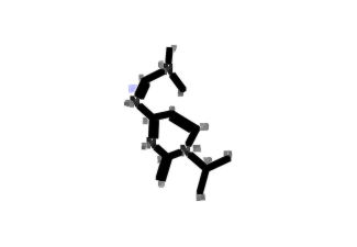 C=C1N=C(/N=C\N(C)C)C=CN1C(C)C